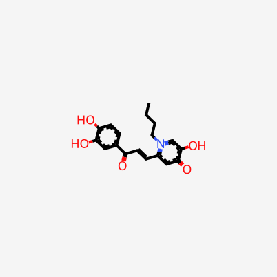 CCCCn1cc(O)c(=O)cc1C=CC(=O)c1ccc(O)c(O)c1